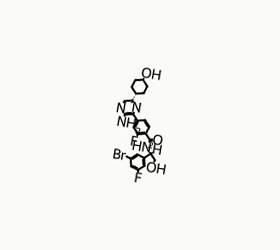 [2H][C@](CO)(NC(=O)c1ccc(-c2nc([C@H]3CC[C@H](O)CC3)cnc2N)cc1F)c1cc(F)cc(Br)c1